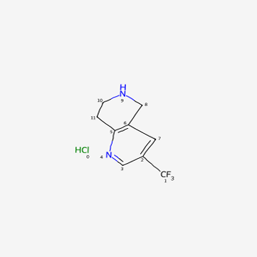 Cl.FC(F)(F)c1cnc2c(c1)CNCC2